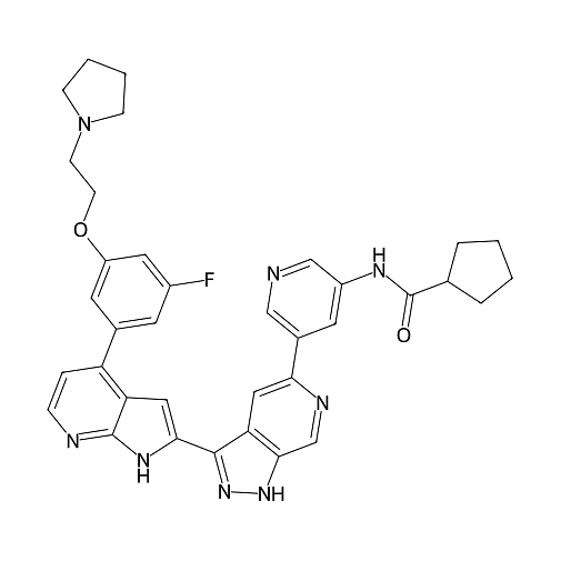 O=C(Nc1cncc(-c2cc3c(-c4cc5c(-c6cc(F)cc(OCCN7CCCC7)c6)ccnc5[nH]4)n[nH]c3cn2)c1)C1CCCC1